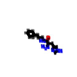 N[C@H](Cc1c[nH]cn1)C(=O)NCCCc1ccccc1